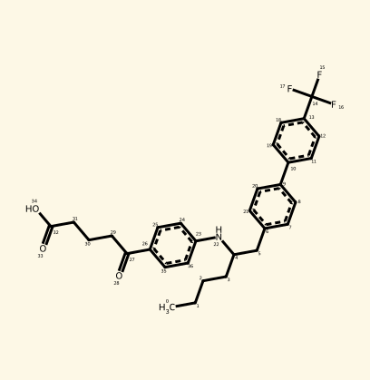 CCCCC(Cc1ccc(-c2ccc(C(F)(F)F)cc2)cc1)Nc1ccc(C(=O)CCCC(=O)O)cc1